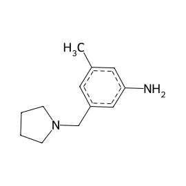 Cc1cc(N)cc(CN2CCCC2)c1